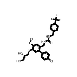 COc1cc(CNC(=O)NCc2ccc(C(F)(F)F)cc2)c(-c2ccc(Cl)cc2)cc1OC[C@@H](O)CO